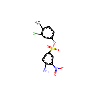 Cc1ccc(OS(=O)(=O)c2ccc(N)c([N+](=O)[O-])c2)cc1Cl